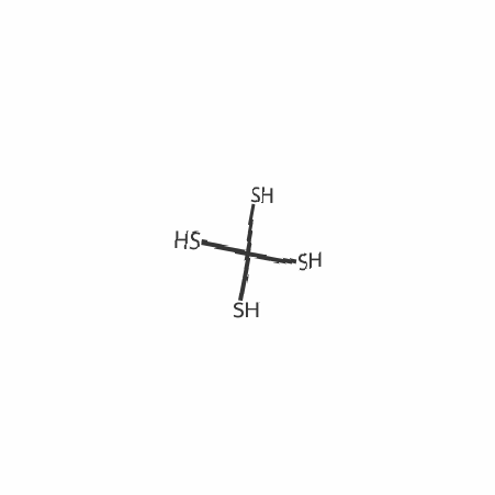 SC(S)(S)S